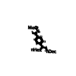 CCCCCCCCCCCC(CCCCCC)c1ccc(/C(C)=N/OC)cc1